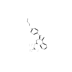 CCCOc1ccc(-c2scc(-c3ccccc3)c2CC(=O)NC(=N)N)cc1